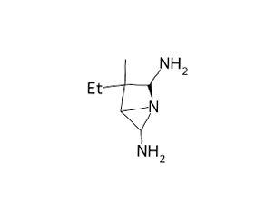 CCC1(C)C(N)[N@@]2C(N)C21